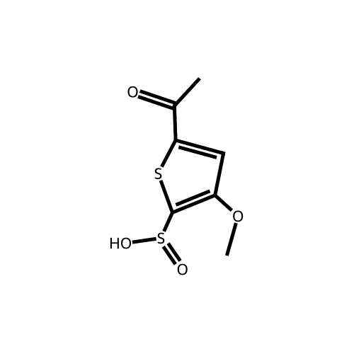 COc1cc(C(C)=O)sc1S(=O)O